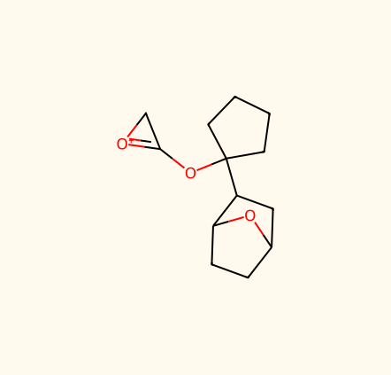 C1CCC(OC2=[O+]C2)(C2CC3CCC2O3)C1